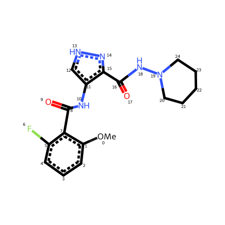 COc1cccc(F)c1C(=O)Nc1c[nH]nc1C(=O)NN1CCCCC1